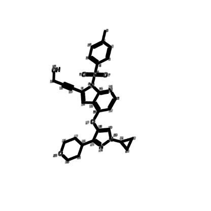 Cc1ccc(S(=O)(=O)n2c(C#CCO)cc3c(Oc4cn(C5CC5)nc4C4CCOCC4)ccnc32)cc1